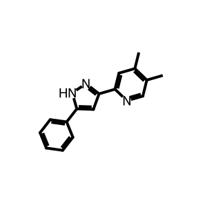 Cc1cnc(-c2cc(-c3ccccc3)[nH]n2)cc1C